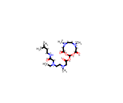 CCN(CCN(C)CC(=O)OC1OC(=O)CN(C)CCN(C)CC(=O)O1)CC(=O)NCCC(C)C